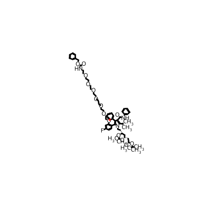 CC(C)c1c(C(=O)Nc2ccccc2)c(-c2ccccc2)c(-c2ccc(F)cc2OCCOCCOCCOCCOCCOCCOCCNC(=O)OCc2ccccc2)n1CC[C@@H]1C[C@H](CC(=O)OC(C)(C)C)OC(C)(C)O1